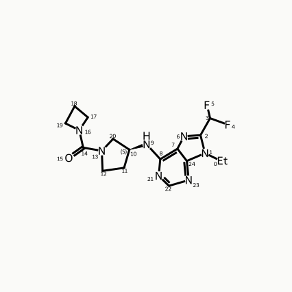 CCn1c(C(F)F)nc2c(N[C@H]3CCN(C(=O)N4CCC4)C3)ncnc21